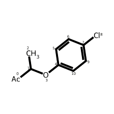 CC(=O)C(C)Oc1ccc(Cl)cc1